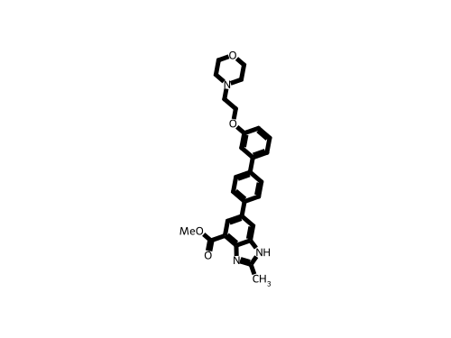 COC(=O)c1cc(-c2ccc(-c3cccc(OCCN4CCOCC4)c3)cc2)cc2[nH]c(C)nc12